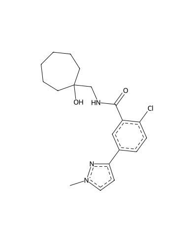 Cn1ccc(-c2ccc(Cl)c(C(=O)NCC3(O)CCCCCC3)c2)n1